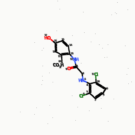 O=C(CNc1c(Cl)cccc1Cl)Nc1ccc(O)cc1C(=O)O